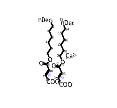 CCCCCCCCCCCCCCCCOC(=O)/C=C/C(=O)[O-].CCCCCCCCCCCCCCCCOC(=O)/C=C/C(=O)[O-].[Ca+2]